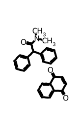 CN(C)C(=O)C(c1ccccc1)c1ccccc1.O=C1C=CC(=O)c2ccccc21